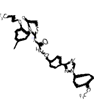 Cc1ccc(OCCC(F)(F)F)c(N2C(=O)CS/C2=N\C(=O)NOCc2ccc(-c3ncn(-c4ccc(OC(F)(F)F)cc4)n3)cc2)c1